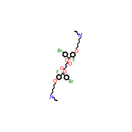 C=CCN(C)CCCCCCOc1ccc([C@@](C)(OC(=O)/C=C/C(=O)O[C@@](C)(c2ccc(Br)cc2)c2ccc(OCCCCCCN(C)CC=C)cc2F)c2ccc(Br)cc2)c(F)c1